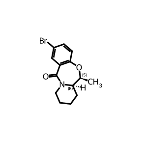 C[C@@H]1Oc2ccc(Br)cc2C(=O)N2CCCC[C@H]12